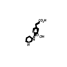 Cl.Cl.O=C(O)/C=C/c1ccc(N[C@@H]2CCCNC2)nc1